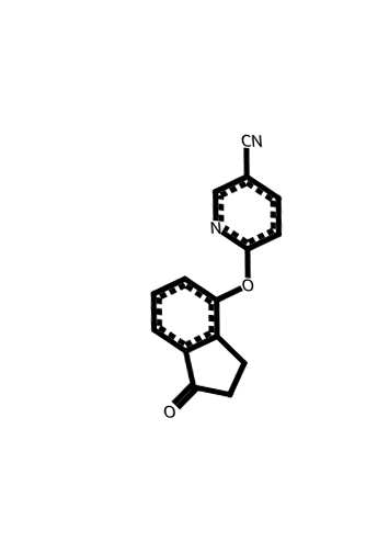 N#Cc1ccc(Oc2cccc3c2CCC3=O)nc1